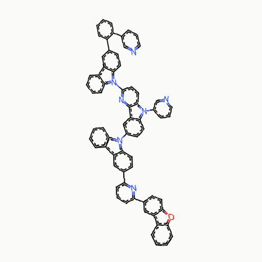 c1cncc(-c2ccccc2-c2ccc3c(c2)c2ccccc2n3-c2ccc3c(n2)c2cc(-n4c5ccccc5c5cc(-c6cccc(-c7ccc8oc9ccccc9c8c7)n6)ccc54)ccc2n3-c2cccnc2)c1